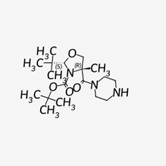 CC(C)(C)OC(=O)N1[C@H](C(C)(C)C)OC[C@]1(C)C(=O)N1CCNCC1